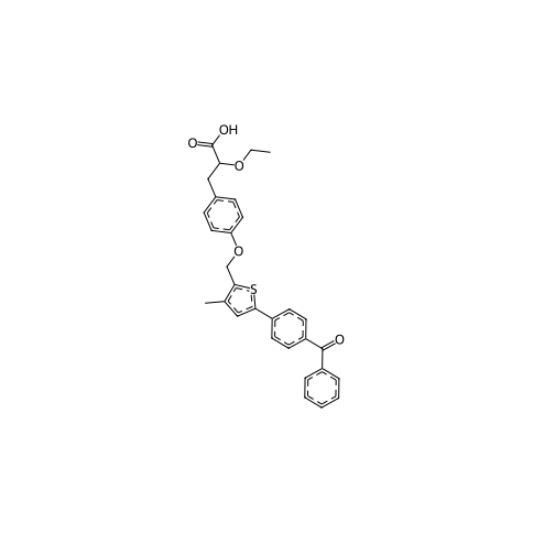 CCOC(Cc1ccc(OCc2sc(-c3ccc(C(=O)c4ccccc4)cc3)cc2C)cc1)C(=O)O